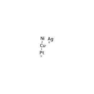 [Ag].[Cu].[Ni].[Pt]